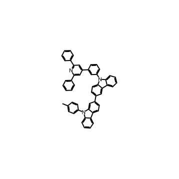 Cc1ccc(-n2c3ccccc3c3ccc(-c4ccc5c(c4)c4ccccc4n5-c4cccc(-c5cc(-c6ccccc6)nc(-c6ccccc6)c5)c4)cc32)cc1